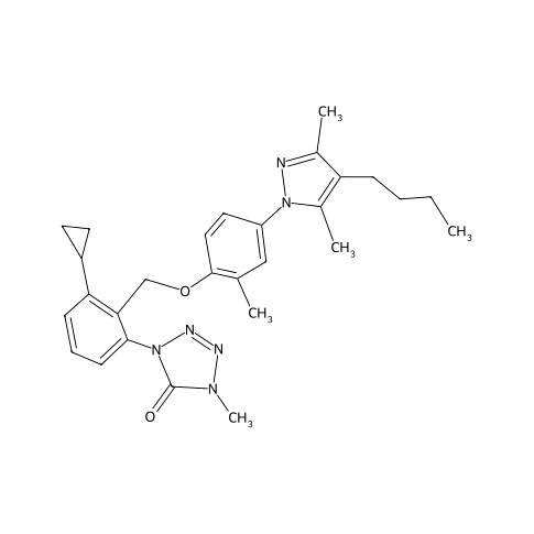 CCCCc1c(C)nn(-c2ccc(OCc3c(C4CC4)cccc3-n3nnn(C)c3=O)c(C)c2)c1C